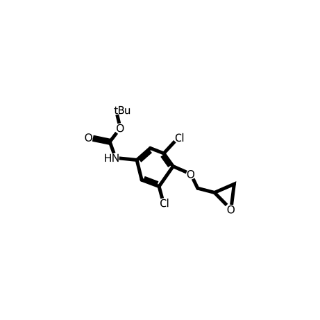 CC(C)(C)OC(=O)Nc1cc(Cl)c(OCC2CO2)c(Cl)c1